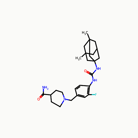 CC12CC3CC(C)(C1)CC(NC(=O)Nc1ccc(CN4CCC(C(N)=O)CC4)cc1F)(C3)C2